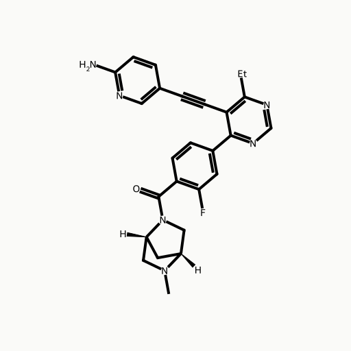 CCc1ncnc(-c2ccc(C(=O)N3C[C@H]4C[C@@H]3CN4C)c(F)c2)c1C#Cc1ccc(N)nc1